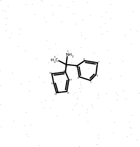 [CH2]C(N)(c1ccccc1)c1ccccc1